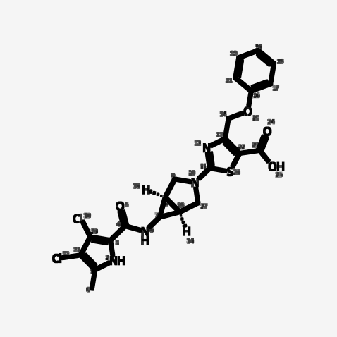 Cc1[nH]c(C(=O)NC2[C@H]3CN(c4nc(COc5ccccc5)c(C(=O)O)s4)C[C@@H]23)c(Cl)c1Cl